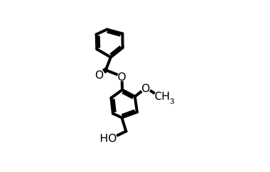 COc1cc(CO)ccc1OC(=O)c1ccccc1